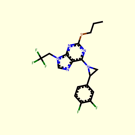 CCCSc1nc(N2CC2c2ccc(F)c(F)c2)c2ncn(CC(F)(F)F)c2n1